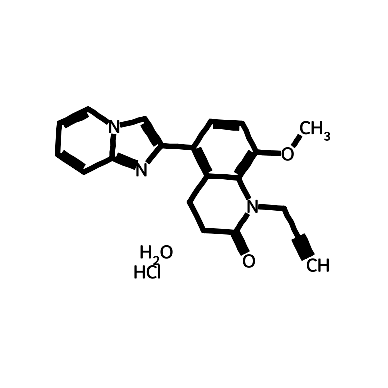 C#CCN1C(=O)CCc2c(-c3cn4ccccc4n3)ccc(OC)c21.Cl.O